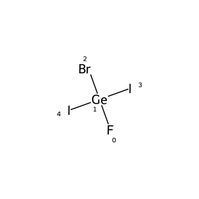 [F][Ge]([Br])([I])[I]